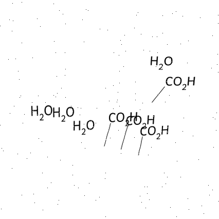 CC(=O)O.CC(=O)O.CC(=O)O.CC(=O)O.O.O.O.O